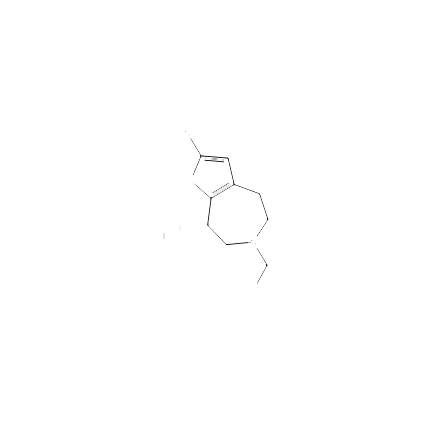 Br.Br.CCN1CCc2cc(N)sc2CC1